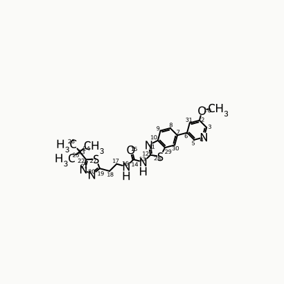 COc1cncc(-c2ccc3nc(NC(=O)NCCc4nnc(C(C)(C)C)s4)sc3c2)c1